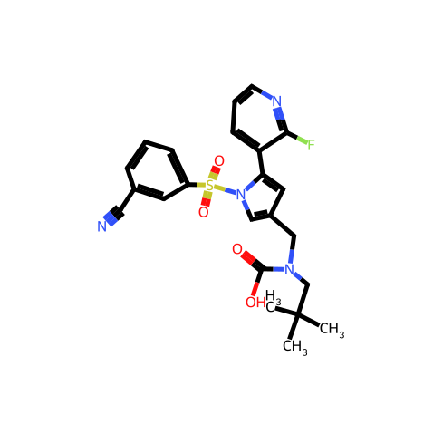 CC(C)(C)CN(Cc1cc(-c2cccnc2F)n(S(=O)(=O)c2cccc(C#N)c2)c1)C(=O)O